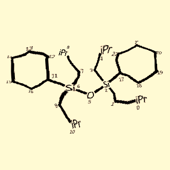 CC(C)C[Si](CC(C)C)(O[Si](CC(C)C)(CC(C)C)C1CCCCC1)C1CCCCC1